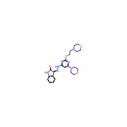 O=C1Nc2ccccc2/C1=N/Nc1cc(N2CCOCC2)nc(OCCN2CCOCC2)n1